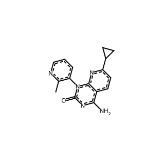 Cc1ncccc1-n1c(=O)nc(N)c2ccc(C3CC3)nc21